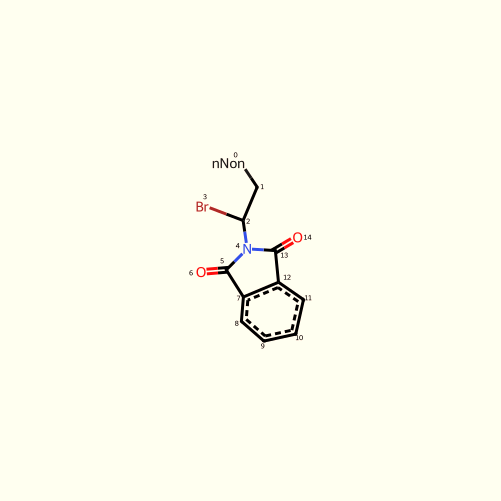 CCCCCCCCCCC(Br)N1C(=O)c2ccccc2C1=O